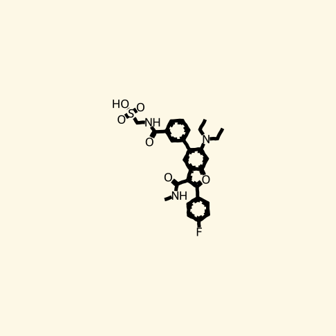 CCN(CC)c1cc2oc(-c3ccc(F)cc3)c(C(=O)NC)c2cc1-c1cccc(C(=O)NCS(=O)(=O)O)c1